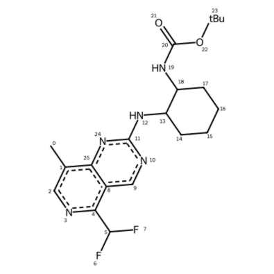 Cc1cnc(C(F)F)c2cnc(NC3CCCCC3NC(=O)OC(C)(C)C)nc12